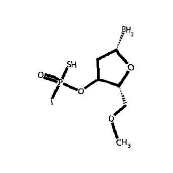 B[C@H]1CC(OP(=O)(S)I)[C@@H](COC)O1